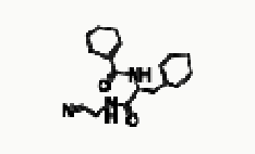 N#CCNC(=O)[C@H](CC1CCCCC1)NC(=O)C1=CCCCC1